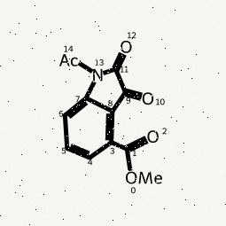 COC(=O)c1cccc2c1C(=O)C(=O)N2C(C)=O